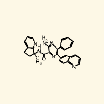 CC1(NC(=O)c2nc(-c3ccc4ncccc4c3)c(-c3ccccc3)nc2N)CCc2cccnc21